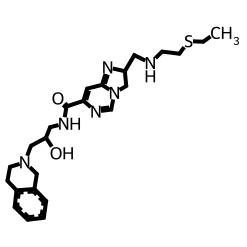 CCSCCNCC1CN2C=NC(C(=O)NCC(O)CN3CCc4ccccc4C3)=CC2=N1